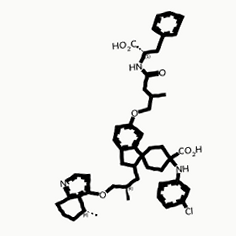 CC(COc1ccc2c(c1)C1(CCC(Nc3cccc(Cl)c3)(C(=O)O)CC1)C(C[C@@H](C)COc1ccnc3c1[C@H](C)CCC3)C2)CC(=O)N[C@@H](Cc1ccccc1)C(=O)O